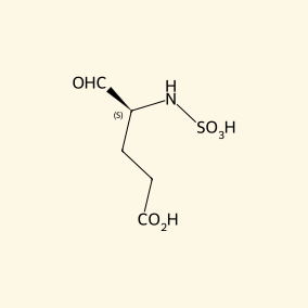 O=C[C@H](CCC(=O)O)NS(=O)(=O)O